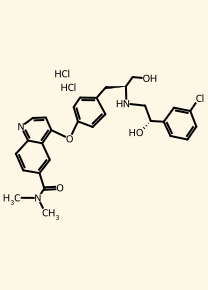 CN(C)C(=O)c1ccc2nccc(Oc3ccc(C[C@@H](CO)NC[C@@H](O)c4cccc(Cl)c4)cc3)c2c1.Cl.Cl